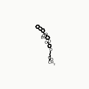 C=CC(=O)OCCCCOc1ccc(C(=O)Oc2ccc(OC(=O)c3ccc4cc5ccccc5cc4c3)c(CC)c2)cc1